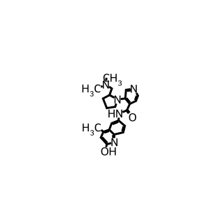 Cc1cc(O)nc2ccc(NC(=O)c3ccncc3N3CCCC3CN(C)C)cc12